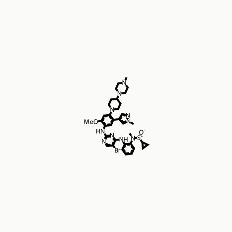 COc1cc(N2CCC(N3CCN(C)CC3)CC2)c(-c2cnn(C)c2)cc1Nc1ncc(Br)c(Nc2ccccc2N(C)[S+]([O-])C2CC2)n1